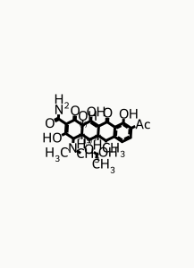 CC(=O)c1ccc2c(c1O)C(=O)C1=C(O)[C@]3(O)C(=O)C(C(N)=O)=C(O)C(N(C)C)[C@@H]3[C@@H](OC(C)O)[C@@H]1C2C